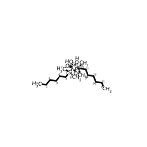 CCCCCC[Si](C)(C)[Cr](=[O])(=[O])([OH])([OH])[Si](C)(C)CCCCCC